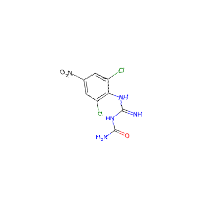 N=C(NC(N)=O)Nc1c(Cl)cc([N+](=O)[O-])cc1Cl